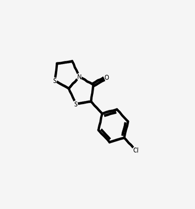 O=C1C(c2ccc(Cl)cc2)SC2SCCN12